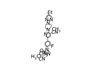 CCc1cnc(N2CCN(c3ncc(-c4ccc(-n5cnn(CC(C)(C)C#N)c5=O)c(F)c4)cc3C#N)[C@@H](C)C2)nc1